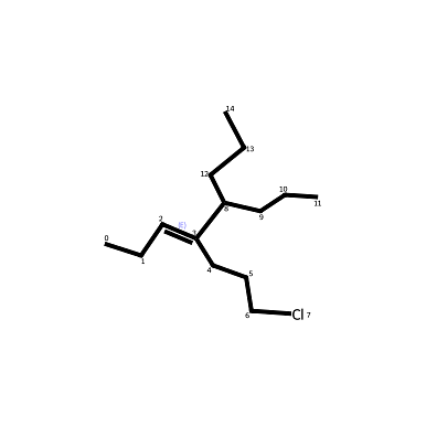 CC/C=C(\CCCCl)C(CCC)CCC